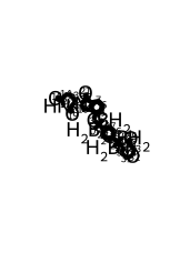 BC(B)(Oc1cccc2c1CN(C1CCC(=O)NC1=O)C2=O)c1ccc(C(B)(B)N2CCOCC2=O)cc1